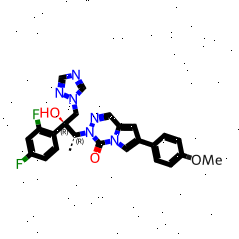 COc1ccc(-c2cc3cnn([C@H](C)[C@](O)(Cn4cncn4)c4ccc(F)cc4F)c(=O)n3c2)cc1